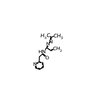 C=C/C(=N\N=C(C)C)NC(=O)Cc1ccccn1